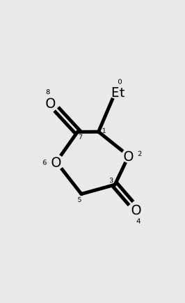 CCC1OC(=O)COC1=O